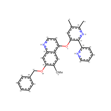 COc1cc2c(Oc3cc(C)c(C)nc3-c3ccccn3)ccnc2cc1OCc1ccccc1